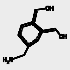 NCc1ccc(=CO)c(=CO)c1